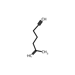 [CH]=C(C)CCCC#C